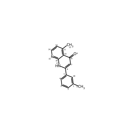 Cc1cccc(-c2cc(=O)c3c(C)ccnc3[nH]2)c1